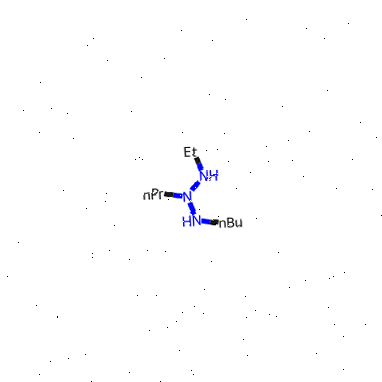 CCCCNN(CCC)NCC